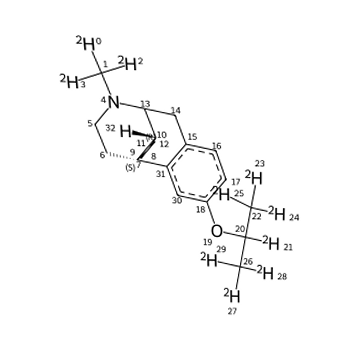 [2H]C([2H])([2H])N1CC[C@@]23CCCC[C@H]2C1Cc1ccc(OC([2H])(C([2H])([2H])[2H])C([2H])([2H])[2H])cc13